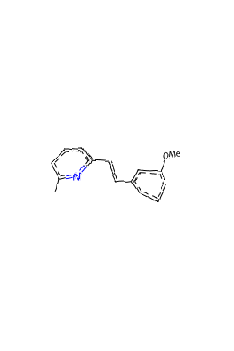 COc1cccc(C=Cc2cccc(C)n2)c1